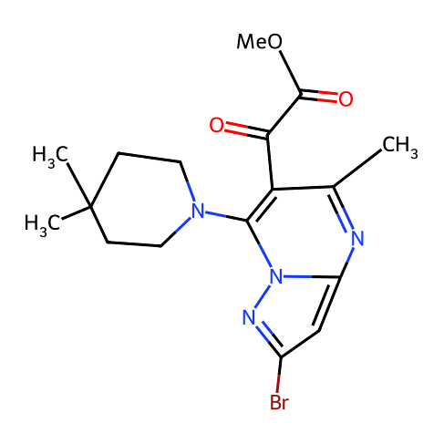 COC(=O)C(=O)c1c(C)nc2cc(Br)nn2c1N1CCC(C)(C)CC1